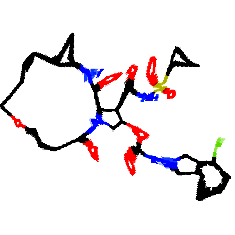 O=C(NS(=O)(=O)C1CC1)C1C(OC(=O)N2Cc3cccc(F)c3C2)CN2C(=O)CCCOCCC=CC3CC3NC(=O)C12